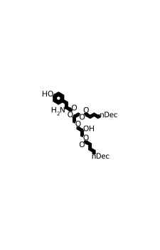 CCCCCCCCCCCCCC(=O)OCC(O)COCC(COC(=O)CCCCCCCCCCCCC)OC(=O)[C@@H](N)Cc1ccc(O)cc1